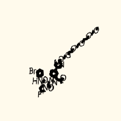 COCCOCCOCCOCCOCCOc1ncc(-c2ccc3c(c2)c(C(C)=O)nn3CC(=O)N2C[C@H](F)C[C@@H]2C(=O)Nc2cccc(Br)c2)cn1